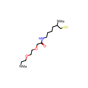 CNCCOCCOCC(=O)NCCCCC(CS)NC